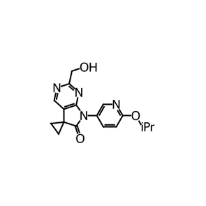 CC(C)Oc1ccc(N2C(=O)C3(CC3)c3cnc(CO)nc32)cn1